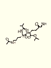 CC(=O)NCCCC[C@H](NC(=S)C(C)C)C(=O)N[C@@H](CCC(=O)C=N)C(=O)OC(C)C